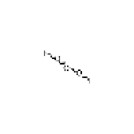 ICCOC=COC=COCCI